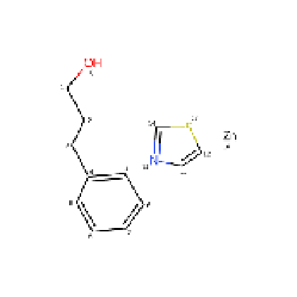 OCCCc1ccccc1.[Zn].c1cscn1